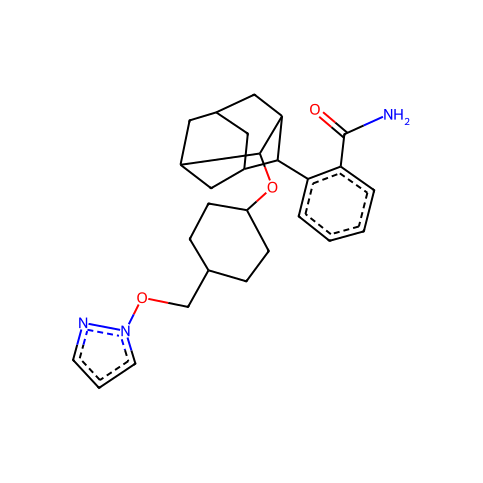 NC(=O)c1ccccc1C1C2CC3CC(C2)C(OC2CCC(COn4cccn4)CC2)C1C3